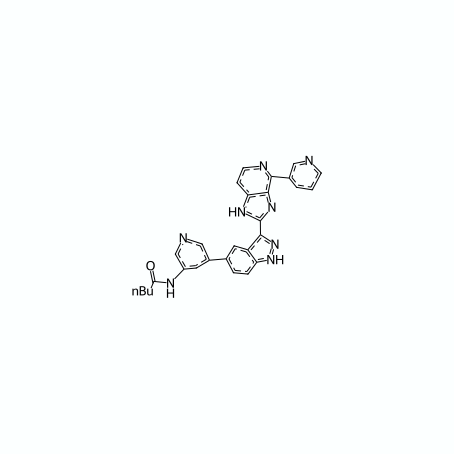 CCCCC(=O)Nc1cncc(-c2ccc3[nH]nc(-c4nc5c(-c6cccnc6)nccc5[nH]4)c3c2)c1